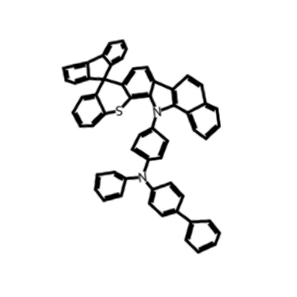 c1ccc(-c2ccc(N(c3ccccc3)c3ccc(-n4c5c6c(ccc5c5ccc7ccccc7c54)C4(c5ccccc5S6)c5ccccc5-c5ccccc54)cc3)cc2)cc1